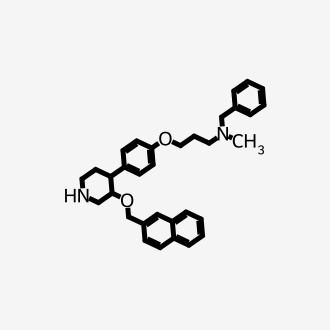 CN(CCCOc1ccc(C2CCNCC2OCc2ccc3ccccc3c2)cc1)Cc1ccccc1